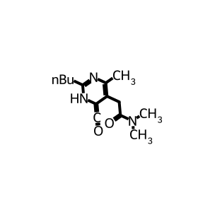 CCCCC1=NC(C)=C(CC(=O)N(C)C)C(=C=O)N1